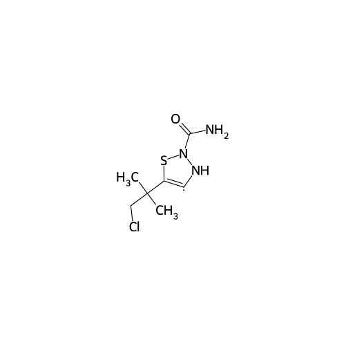 CC(C)(CCl)C1=[C]NN(C(N)=O)S1